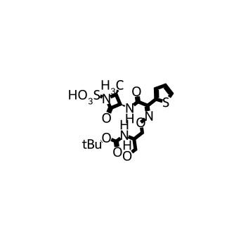 C[C@H]1[C@H](NC(=O)C(=NOCC(CO)NC(=O)OC(C)(C)C)c2cccs2)C(=O)N1S(=O)(=O)O